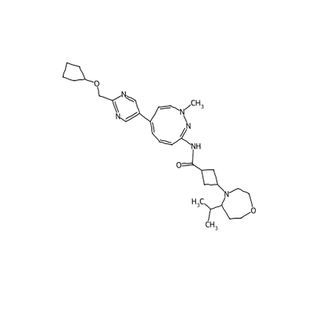 CC(C)C1CCOCCN1C1CC(C(=O)Nc2cccc(-c3cnc(COC4CCCC4)nc3)ccn(C)n2)C1